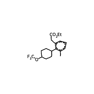 CCOC(=O)Cc1cccc(C)c1C1CCC(OC(F)(F)F)CC1